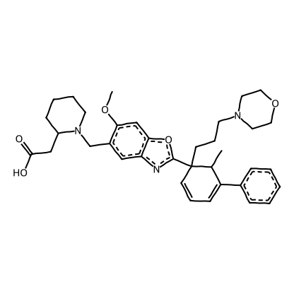 COc1cc2oc(C3(CCCN4CCOCC4)C=CC=C(c4ccccc4)C3C)nc2cc1CN1CCCCC1CC(=O)O